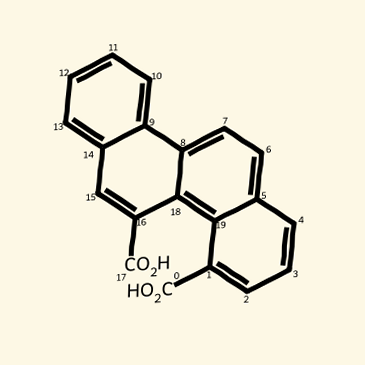 O=C(O)c1cccc2ccc3c4ccccc4cc(C(=O)O)c3c12